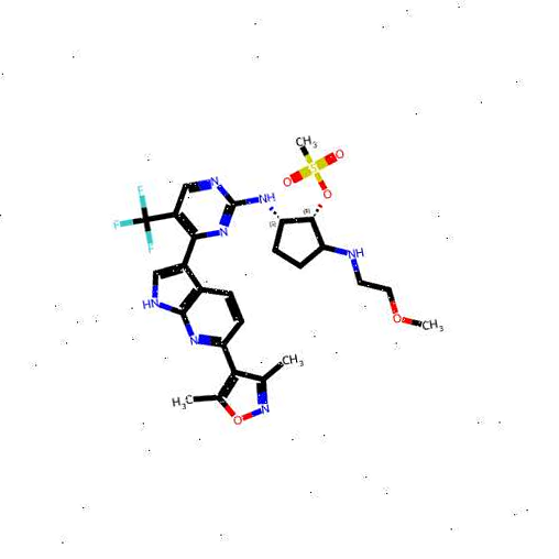 COCCNC1CC[C@H](Nc2ncc(C(F)(F)F)c(-c3c[nH]c4nc(-c5c(C)noc5C)ccc34)n2)[C@@H]1OS(C)(=O)=O